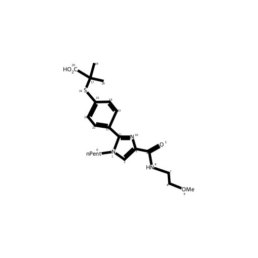 CCCCCn1cc(C(=O)NCCOC)nc1-c1ccc(SC(C)(C)C(=O)O)cc1